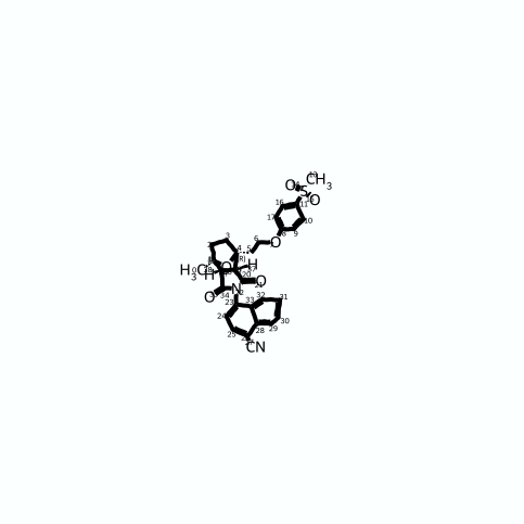 C[C@]12CC[C@](CCOc3ccc(S(C)(=O)=O)cc3)(O1)[C@@H]1C(=O)N(c3ccc(C#N)c4ccccc34)C(=O)[C@@H]12